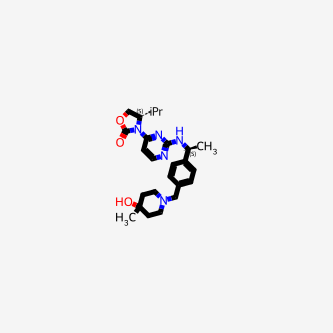 CC(C)[C@H]1COC(=O)N1c1ccnc(N[C@@H](C)c2ccc(CN3CCC(C)(O)CC3)cc2)n1